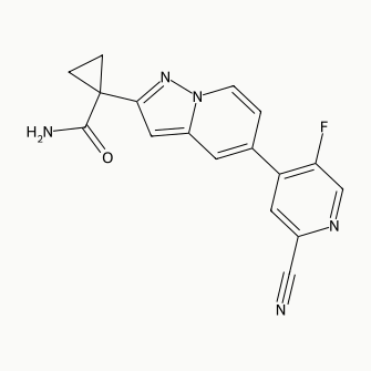 N#Cc1cc(-c2ccn3nc(C4(C(N)=O)CC4)cc3c2)c(F)cn1